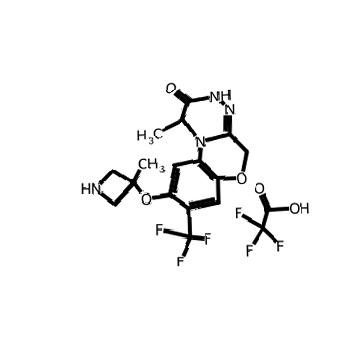 CC1C(=O)NN=C2COc3cc(C(F)(F)F)c(OC4(C)CNC4)cc3N21.O=C(O)C(F)(F)F